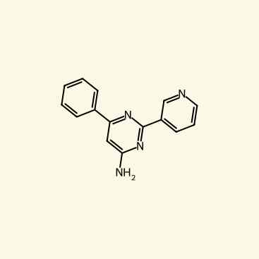 Nc1cc(-c2ccccc2)nc(-c2cccnc2)n1